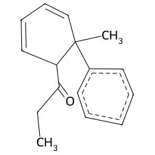 CCC(=O)C1C=CC=CC1(C)c1ccccc1